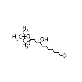 CC(C)(C)OC(=O)CCC(O)CCCCCCC=O